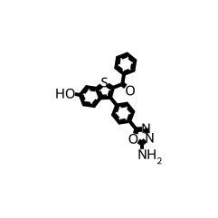 Nc1nnc(-c2ccc(-c3c(C(=O)c4ccccc4)sc4cc(O)ccc34)cc2)o1